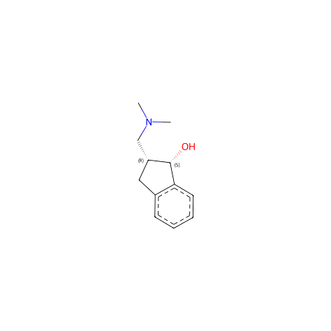 CN(C)C[C@H]1Cc2ccccc2[C@H]1O